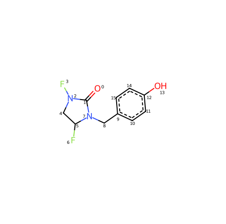 O=C1N(F)CC(F)N1Cc1ccc(O)cc1